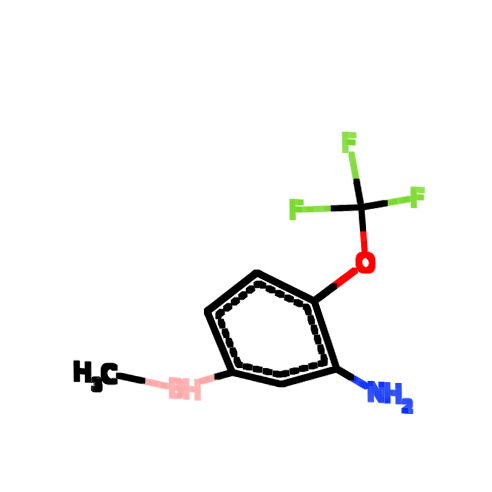 CBc1ccc(OC(F)(F)F)c(N)c1